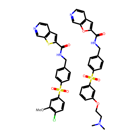 CN(C)CCOc1cccc(S(=O)(=O)c2ccc(CNC(=O)c3cc4ccncc4o3)cc2)c1.COc1cc(S(=O)(=O)c2ccc(CNC(=O)c3cc4ccncc4s3)cc2)ccc1Cl